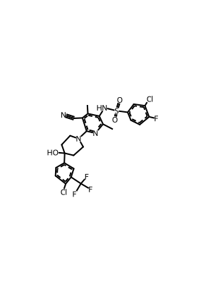 Cc1nc(N2CCC(O)(c3ccc(Cl)c(C(F)(F)F)c3)CC2)c(C#N)c(C)c1NS(=O)(=O)c1ccc(F)c(Cl)c1